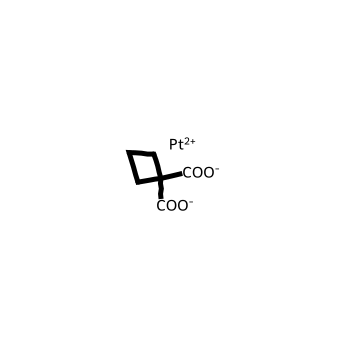 O=C([O-])C1(C(=O)[O-])CCC1.[Pt+2]